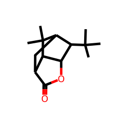 CC(C)(C)C1C2OC(=O)C3CC1C(C)(C)C32